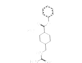 Cl.N=C(N)NCC1CCC(C(=O)Oc2ccccc2)CC1